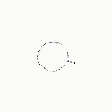 O=C1CCCCCCCCCC/C=C\CCO1